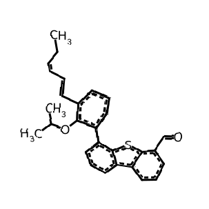 CC/C=C\C=C\c1cccc(-c2cccc3c2sc2c(C=O)cccc23)c1OC(C)C